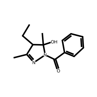 CCC1C(C)=NN(C(=O)c2ccccc2)C1(C)O